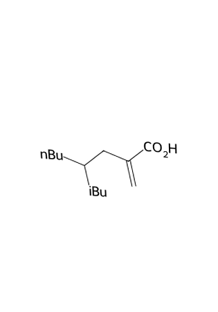 C=C(CC(CCCC)C(C)CC)C(=O)O